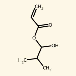 [CH2]C(C)C(O)OC(=O)C=C